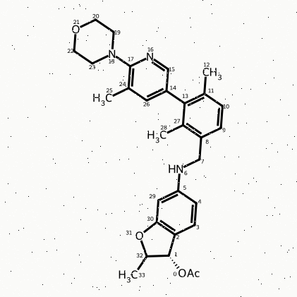 CC(=O)O[C@H]1c2ccc(NCc3ccc(C)c(-c4cnc(N5CCOCC5)c(C)c4)c3C)cc2OC1C